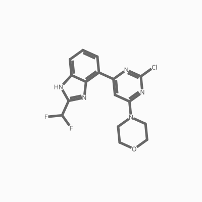 FC(F)c1nc2c(-c3cc(N4CCOCC4)nc(Cl)n3)cccc2[nH]1